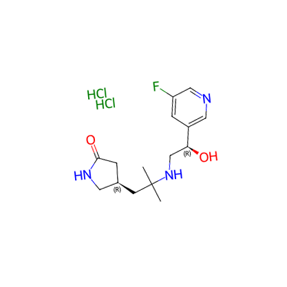 CC(C)(C[C@H]1CNC(=O)C1)NC[C@H](O)c1cncc(F)c1.Cl.Cl